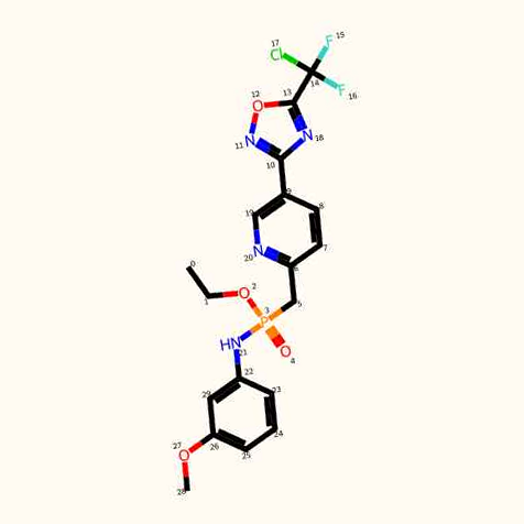 CCOP(=O)(Cc1ccc(-c2noc(C(F)(F)Cl)n2)cn1)Nc1cccc(OC)c1